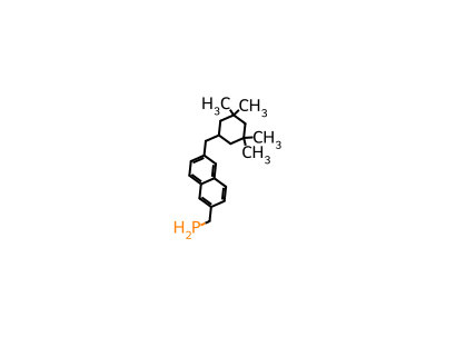 CC1(C)CC(Cc2ccc3cc(CP)ccc3c2)CC(C)(C)C1